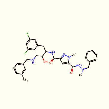 CCN(Cc1ccccc1)NC(=O)c1cc(C(=O)NC(Cc2cc(F)cc(F)c2)C(O)CNCc2cccc(C(F)(F)F)c2)nn1CC